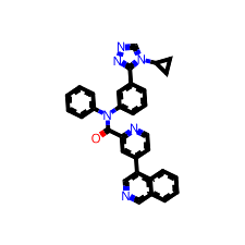 O=C(c1cc(-c2cncc3ccccc23)ccn1)N(c1ccccc1)c1cccc(-c2nncn2C2CC2)c1